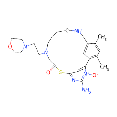 Cc1cc(C)c2cc1CNCCCCN(CCN1CCOCC1)CC(=O)Sc1cc-2[n+]([O-])c(N)n1